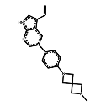 C=Cc1c[nH]c2ncc(-c3ccc(N4CC5(CN(C)C5)C4)cc3)cc12